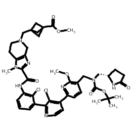 COC(=O)C12CC(CN3CCc4c(nc(C(=O)Nc5cccc(-c6nccc(-c7ccc(CN(C[C@@H]8CCC(=O)N8)C(=O)OC(C)(C)C)c(OC)n7)c6Cl)c5Cl)n4C)C3)(C1)C2